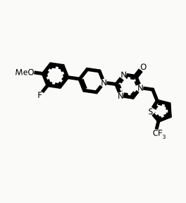 COc1ccc(C2=CCN(c3ncn(Cc4ccc(C(F)(F)F)s4)c(=O)n3)CC2)cc1F